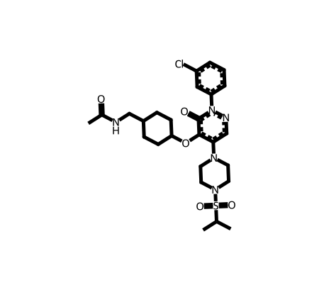 CC(=O)NCC1CCC(Oc2c(N3CCN(S(=O)(=O)C(C)C)CC3)cnn(-c3cccc(Cl)c3)c2=O)CC1